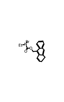 CCN(Br)C(=O)OCc1c2c(cc3ccccc13)CCC=C2